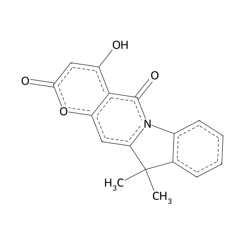 CC1(C)c2ccccc2-n2c1cc1oc(=O)cc(O)c1c2=O